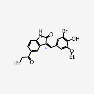 CCOc1cc(/C=C2\C(=O)Nc3ccc(C(=O)CC(C)C)cc32)cc(Br)c1O